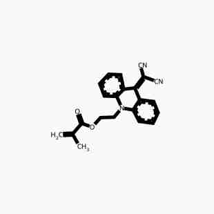 C=C(C)C(=O)OCCN1c2ccccc2C(=C(C#N)C#N)c2ccccc21